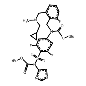 CN(Cc1cccc(F)c1CN(C(=O)OC(C)(C)C)c1cc(F)c(S(=O)(=O)N(C(=O)OC(C)(C)C)c2cscn2)c(F)c1)CC1CC1